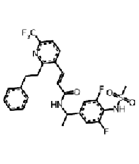 CC(NC(=O)C=Cc1ccc(C(F)(F)F)nc1CCc1ccccc1)c1cc(F)c(NS(C)(=O)=O)c(F)c1